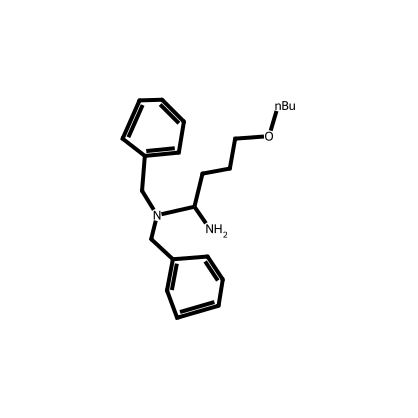 CCCCOCCCC(N)N(Cc1ccccc1)Cc1ccccc1